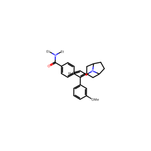 C=CCN1C2CCC1CC(=C(c1ccc(C(=O)N(CC)CC)cc1)c1cccc(OC)c1)C2